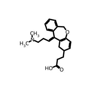 CN(C)CC/C=C1/C2=C(C=CC(CCC(=O)O)C2)OCc2ccccc21